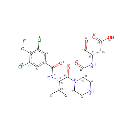 COc1c(Cl)cc(C(=O)N[C@H](C(=O)N2CCNC[C@H]2C(=O)N[C@H](C=O)CC(=O)O)C(C)C)cc1Cl